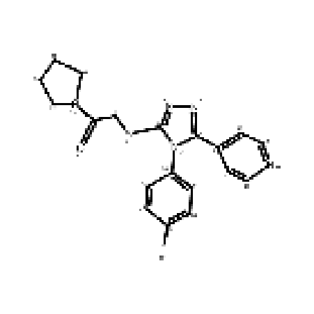 O=C(CSc1nnc(-c2ccncc2)n1-c1ccc(F)cc1)N1CCCC1